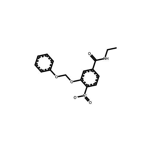 CCNC(=O)c1ccc([N+](=O)[O-])c(OCOc2ccccc2)c1